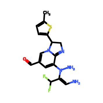 Cc1ccc(C2CN=C3C(N(N)/C(=C\N)C(F)F)=CC(C=O)=CN32)s1